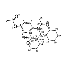 CC(=O)Oc1ccc2c(c1)[C@H]1OCCC[C@H]1[C@@H](C1CCCCC1)N2C(C)=O